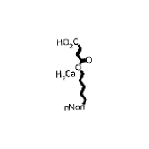 CCCCCCCCCCCCCCOC(=O)/C=C/C(=O)O.[CaH2]